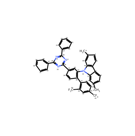 Cc1ccc2c3ccc(C)cc3n(-c3cc(-c4nc(-c5ccccc5)nc(-c5ccccc5)n4)ccc3-c3ccc(C(F)(F)F)cc3C(F)(F)F)c2c1